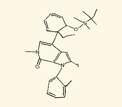 CCC1(c2cn(C)c(=O)c3c2cc(I)n3-c2ccccc2C)C=CC=CC1O[Si](C)(C)C(C)(C)C